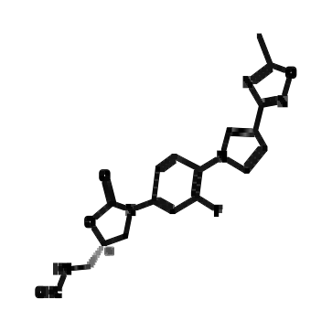 Cc1nc(-c2ccn(-c3ccc(N4C[C@H](CNC=O)OC4=O)cc3F)c2)no1